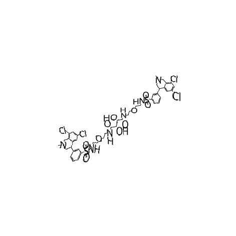 CN1Cc2c(Cl)cc(Cl)cc2C(c2cccc(S(=O)(=O)NCCOCCNC(=O)C(O)C(O)C(=O)NCCOCCNS(=O)(=O)c3cccc(C4CN(C)Cc5c(Cl)cc(Cl)cc54)c3)c2)C1